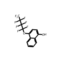 Oc1ccc(OC(F)(F)C(F)(F)C(F)(F)C(F)(F)F)c2ccccc12